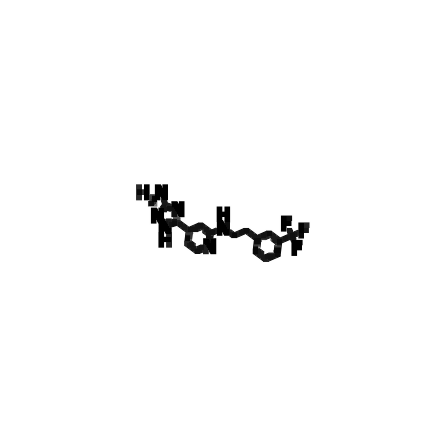 Nc1n[nH]c(-c2ccnc(NCCc3cccc(C(F)(F)F)c3)c2)n1